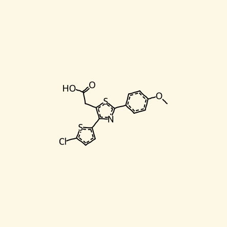 COc1ccc(-c2nc(-c3ccc(Cl)s3)c(CC(=O)O)s2)cc1